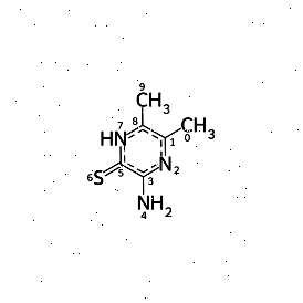 Cc1nc(N)c(=S)[nH]c1C